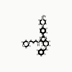 CC(C)N1CCN(c2ccc(-c3nc4c(c(NCCCN5CCOCC5)n3)CN(Cc3ccccc3)CC4)cc2)CC1